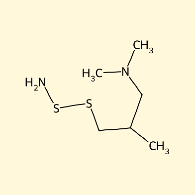 CC(CSSN)CN(C)C